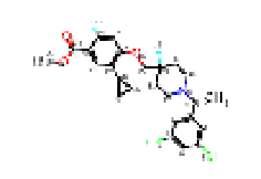 C[C@H](c1cc(Cl)cc(Cl)c1)N1CCC(F)(COc2cc(F)c(C(=O)OC(C)(C)C)cc2C2CC2)CC1